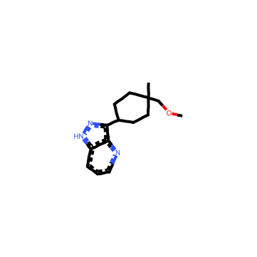 COCC1(C)CCC(c2n[nH]c3cccnc23)CC1